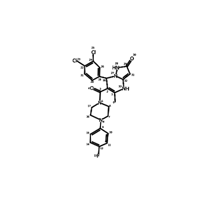 CC1=C(C(=O)N2CCN(c3ccc(F)cc3)CC2)C(c2ccc(Cl)c(Cl)c2)n2[nH]c(=O)cc2N1